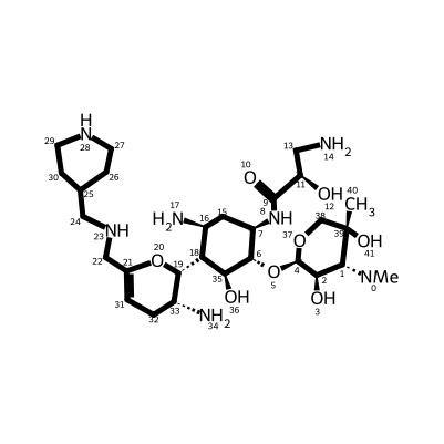 CN[C@@H]1[C@@H](O)[C@@H](O[C@H]2[C@H](NC(=O)[C@H](O)CN)C[C@H](N)C([C@H]3OC(CNCC4CCNCC4)=CC[C@H]3N)[C@@H]2O)OC[C@]1(C)O